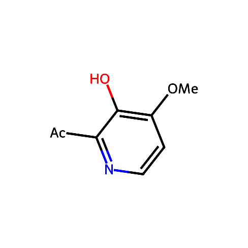 COc1ccnc(C(C)=O)c1O